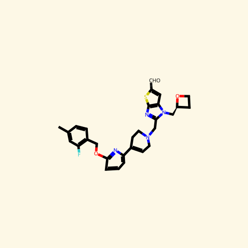 Cc1ccc(COc2cccc(C3=CCN(Cc4nc5sc(C=O)cc5n4C[C@@H]4CCO4)CC3)n2)c(F)c1